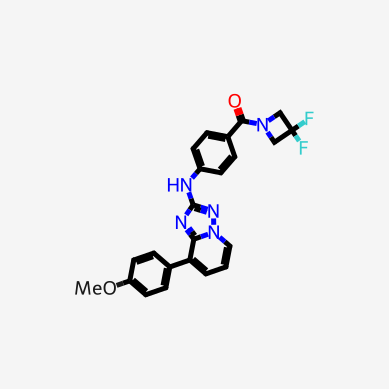 COc1ccc(-c2cccn3nc(Nc4ccc(C(=O)N5CC(F)(F)C5)cc4)nc23)cc1